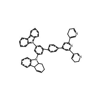 C1=CC2c3ccccc3N(c3cc(-c4ccc(-c5cc(C6=CCCN=C6)nc(C6=CN=CCC6)c5)cc4)cc(-n4c5ccccc5c5ccccc54)c3)C2CC1